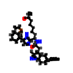 CCC(=O)CCCCCC(NC(=O)Cc1c(C)[nH]c2ccc(OC)cc12)c1ncc(-c2cccc3ccsc23)[nH]1